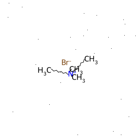 CCCCCCCCC[N+](CC)(CC)CCCCCCCCC.[Br-]